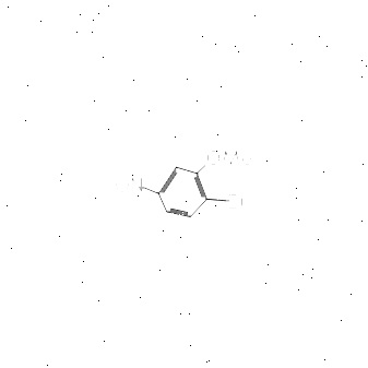 CCc1ccc(N=O)cc1OC